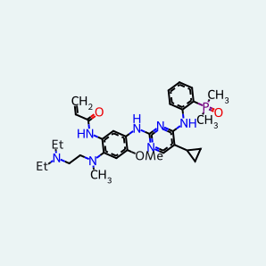 C=CC(=O)Nc1cc(Nc2ncc(C3CC3)c(Nc3ccccc3P(C)(C)=O)n2)c(OC)cc1N(C)CCN(CC)CC